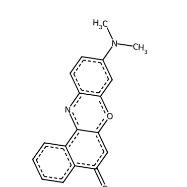 CN(C)c1ccc2nc3c4ccccc4c(=O)cc-3oc2c1